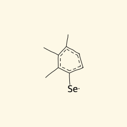 Cc1ccc([Se])c(C)c1C